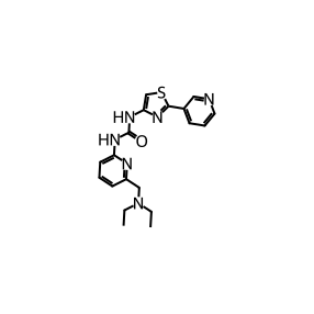 CCN(CC)Cc1cccc(NC(=O)Nc2csc(-c3cccnc3)n2)n1